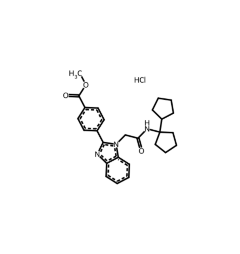 COC(=O)c1ccc(-c2nc3ccccc3n2CC(=O)NC2(C3CCCC3)CCCC2)cc1.Cl